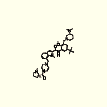 COc1c(CN2CCCC(N(C)C)C2)cc(C(C)(C)C)cc1NC(=O)c1cc2cccc(CN3CCN(C(=O)[C@@H]4CCCN4C)CC3)c2n1C